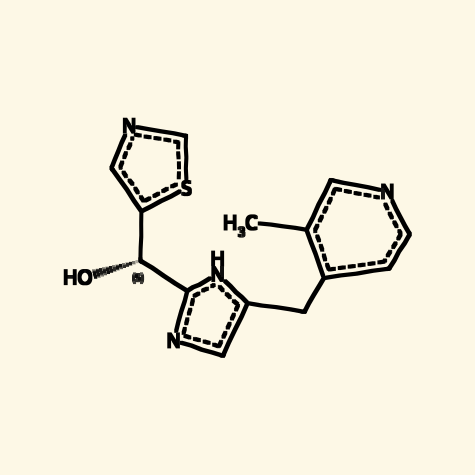 Cc1cnccc1Cc1cnc([C@H](O)c2cncs2)[nH]1